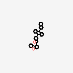 C1=CC2Oc3cccc(-c4cc5cc(-c6c7ccccc7c(-c7ccc8ccccc8c7)c7ccccc67)ccc5o4)c3C2C=C1